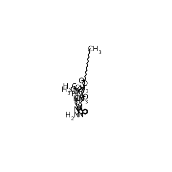 CCCCCCCCCCCCCCCC(=O)OCCSCC(NC(=O)OC(C)(C)C)C(=O)NCCCn1c(COCC)nc2c(N)nc3ccccc3c21